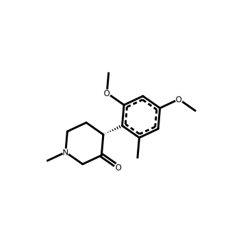 COc1cc(C)c([C@H]2CCN(C)CC2=O)c(OC)c1